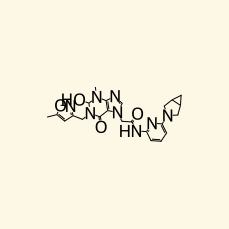 Cc1cc(CN2C(=O)c3c(ncn3CC(=O)Nc3cccc(N4CC5CC5C4)n3)N(C)C2O)no1